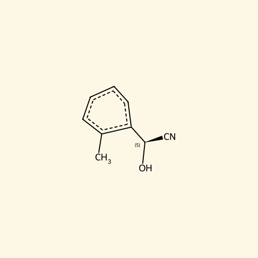 Cc1ccccc1[C@H](O)C#N